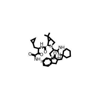 CC(C)(C)CC(C(N)NC1(CC2Cc3ccccc3C2=O)CCCCC1)N1CC2C([C@H]1C(=O)NC(CC1CC1)C(=O)C(N)=O)C2(C)C